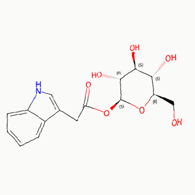 O=C(Cc1c[nH]c2ccccc12)O[C@@H]1O[C@H](CO)[C@@H](O)[C@H](O)[C@H]1O